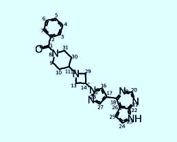 O=C(c1ccccc1)N1CCC(N2C[C](n3cc(-c4ncnc5[nH]ccc45)cn3)C2)CC1